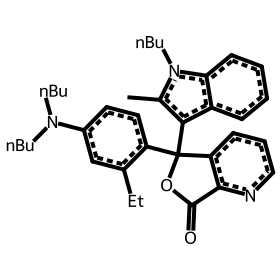 CCCCN(CCCC)c1ccc(C2(c3c(C)n(CCCC)c4ccccc34)OC(=O)c3ncccc32)c(CC)c1